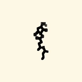 BC1CC(=O)N(OC(=O)CCC(C)SC(C)CCC)C1=O